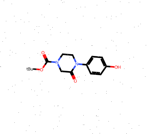 CC(C)(C)OC(=O)N1CCN(c2ccc(O)cc2)C(=O)C1